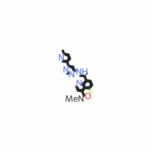 CNC(=O)c1ccnc2c([C@H](C)CNc3cc(-c4ccc(C)nc4)ncn3)ccc(F)c12